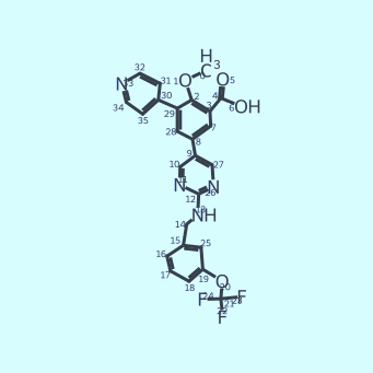 COc1c(C(=O)O)cc(-c2cnc(NCc3cccc(OC(F)(F)F)c3)nc2)cc1-c1ccncc1